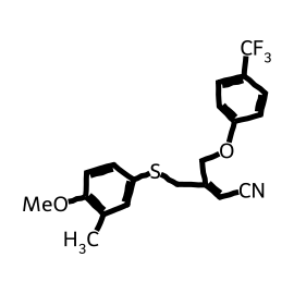 COc1ccc(SCC(=CC#N)COc2ccc(C(F)(F)F)cc2)cc1C